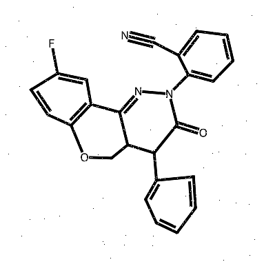 N#Cc1ccccc1N1N=C2c3cc(F)ccc3OCC2C(c2ccccc2)C1=O